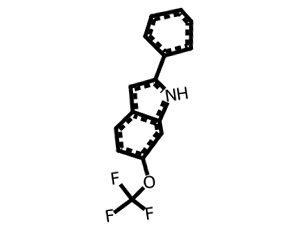 FC(F)(F)Oc1ccc2cc(-c3ccccc3)[nH]c2c1